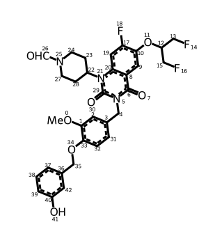 COc1cc(Cn2c(=O)c3cc(OC(CF)CF)c(F)cc3n(C3CCN(C=O)CC3)c2=O)ccc1OCc1cccc(O)c1